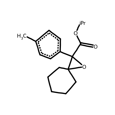 Cc1ccc(C2(C(=O)OC(C)C)OC23CCCCC3)cc1